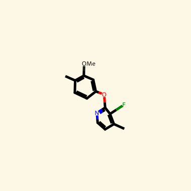 COc1cc(Oc2nccc(C)c2F)ccc1C